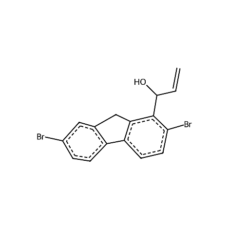 C=CC(O)c1c(Br)ccc2c1Cc1cc(Br)ccc1-2